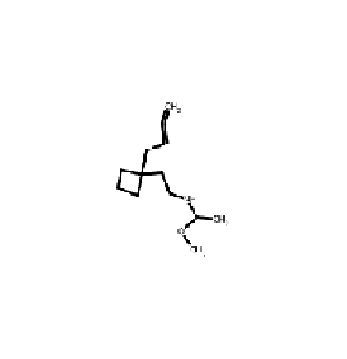 C=C=CCC1(CCNC(C)OC)CCC1